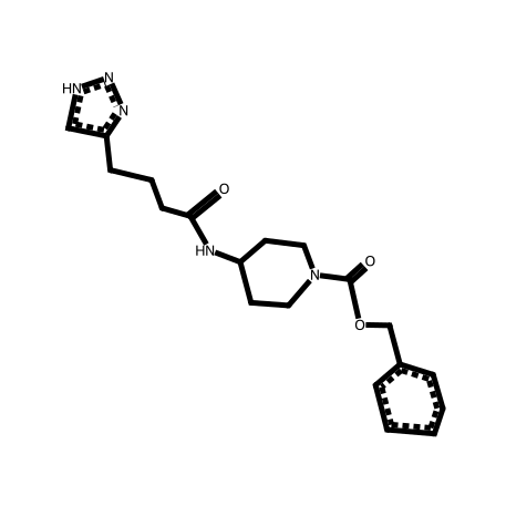 O=C(CCCc1c[nH]nn1)NC1CCN(C(=O)OCc2ccccc2)CC1